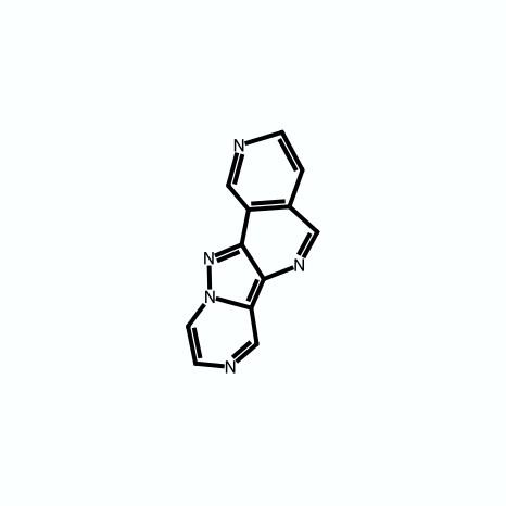 c1cc2cnc3c(nn4ccncc34)c2cn1